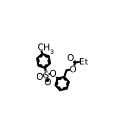 CCC(=O)OCc1ccccc1OS(=O)(=O)c1ccc(C)cc1